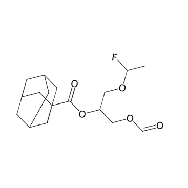 CC(F)OCC(COC=O)OC(=O)C12CC3CC(CC(C3)C1)C2